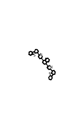 c1ccc2c(c1)sc1c(-c3ccc(-c4ccc(-c5ccc(-c6cccc7c6sc6ccccc67)nc5)c5ccccc45)cn3)cccc12